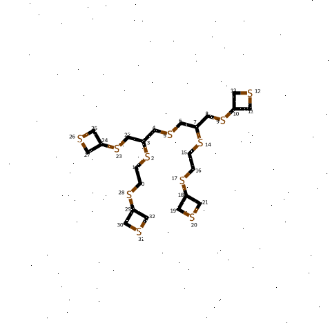 C(CSC(CSCC(CSC1CSC1)SCCSC1CSC1)CSC1CSC1)SC1CSC1